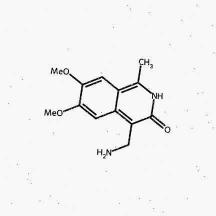 COc1cc2c(C)[nH]c(=O)c(CN)c2cc1OC